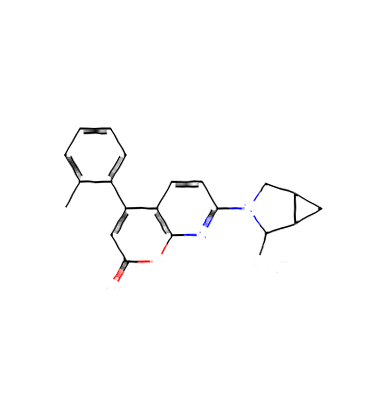 Cc1ccccc1-c1cc(=O)oc2nc(N3CC4CC4C3C(=O)O)ccc12